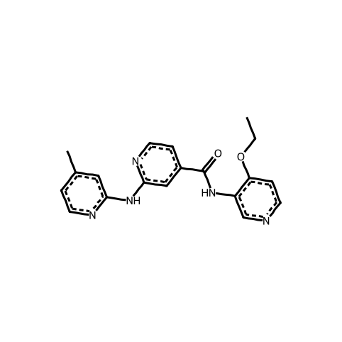 CCOc1ccncc1NC(=O)c1ccnc(Nc2cc(C)ccn2)c1